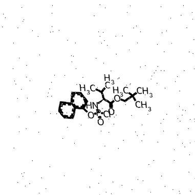 CC(C)[C@H](NP(=O)(Cl)Oc1cccc2ccccc12)C(=O)OCC(C)(C)C